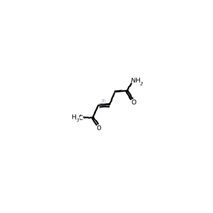 CC(=O)/C=C/CC(N)=O